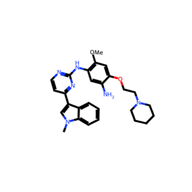 COc1cc(OCCN2CCCCC2)c(N)cc1Nc1nccc(-c2cn(C)c3ccccc23)n1